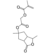 C=C(C)C(=O)OCC(=O)OC1(C)CC2C(=O)OC(C)C2C1